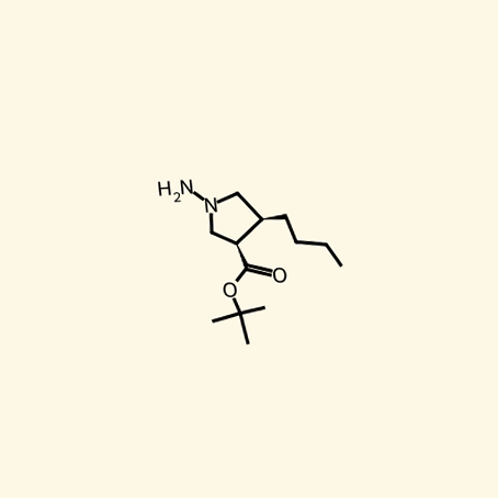 CCCC[C@@H]1CN(N)C[C@@H]1C(=O)OC(C)(C)C